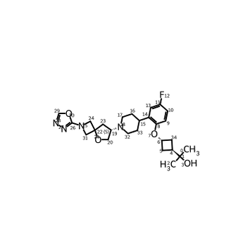 CC(C)(O)[C@H]1C[C@H](Oc2ccc(F)cc2C2CCN([C@@H]3COC4(C3)CN(c3nnco3)C4)CC2)C1